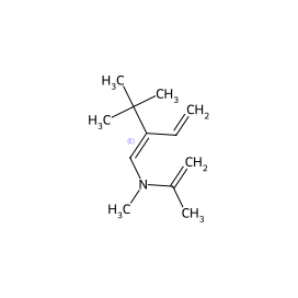 C=C/C(=C\N(C)C(=C)C)C(C)(C)C